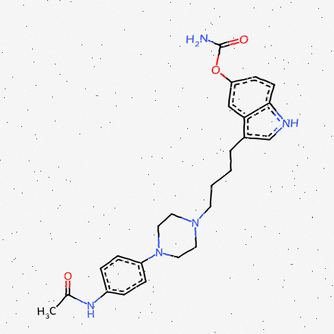 CC(=O)Nc1ccc(N2CCN(CCCCc3c[nH]c4ccc(OC(N)=O)cc34)CC2)cc1